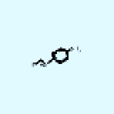 Nc1ccc(NCF)cc1